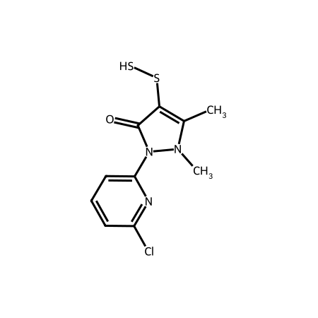 Cc1c(SS)c(=O)n(-c2cccc(Cl)n2)n1C